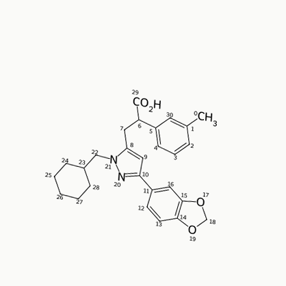 Cc1cccc(C(Cc2cc(-c3ccc4c(c3)OCO4)nn2CC2CCCCC2)C(=O)O)c1